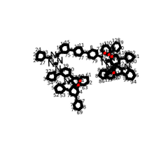 C1=CC(c2nc(-c3ccc(-c4ccc(-c5cccc(-c6nc(-c7ccccc7)nc(-n7c8ccccc8c8c7ccc7c9ccccc9n(-c9ccccc9-c9cc(-c%10ccccc%10)cc(-c%10ccccc%10)c9)c78)n6)c5)cc4)cc3)nc(-n3c4ccccc4c4cc5c6ccccc6n(-c6ccccc6-c6cc(-c7ccccc7)cc(-c7ccccc7)c6)c5cc43)n2)=CCC1